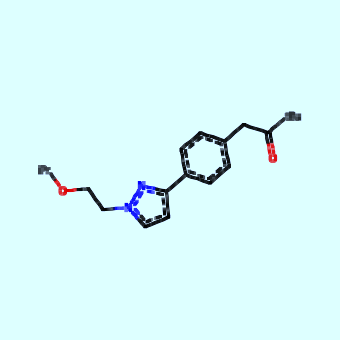 CC(C)OCCn1ccc(-c2ccc(CC(=O)C(C)(C)C)cc2)n1